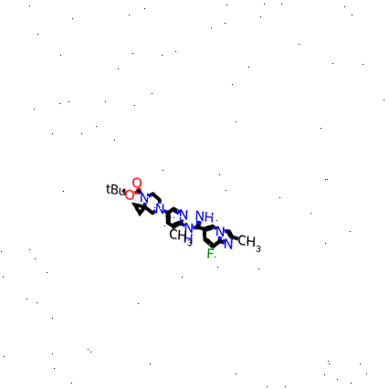 Cc1cn2cc(C(=N)Nc3ncc(N4CCN(C(=O)OC(C)(C)C)C5(CC5)C4)cc3C)cc(F)c2n1